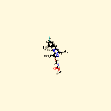 C=N/C(=C\C(=C/C)n1cc(C(=O)O)c(OCCNC(=O)OC(C)(C)C)n1)Cc1cc(F)cc(C(F)(F)F)c1